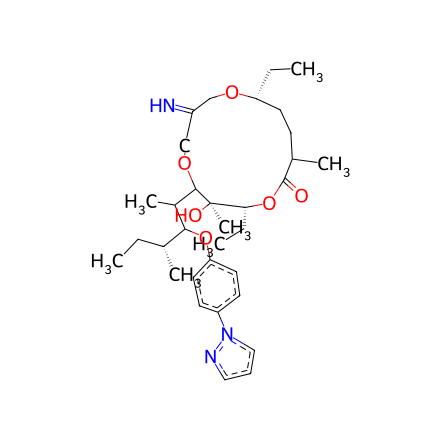 CC[C@@H]1CCC(C)C(=O)O[C@H](CC)[C@@](C)(O)C(C(C)C(Oc2ccc(-n3cccn3)cc2)[C@H](C)CC)OCC(=N)CO1